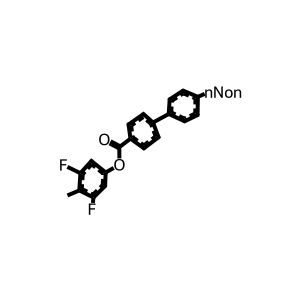 CCCCCCCCCc1ccc(-c2ccc(C(=O)Oc3cc(F)c(C)c(F)c3)cc2)cc1